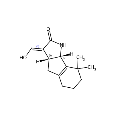 CC1(C)CCCC2=C1[C@H]1NC(=O)/C(=C/O)[C@H]1C2